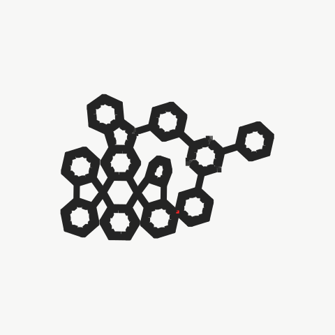 c1ccc(-c2nc(-c3ccccc3)nc(-c3cccc(-n4c5ccccc5c5cc6c(cc54)C4(c5ccccc5-c5ccccc54)c4ccccc4C64c5ccccc5-c5ccccc54)c3)n2)cc1